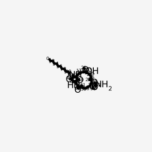 CCCCCCCCCCCCNC1=C2C[C@@H](C)C[C@H](OC)[C@H](O)[C@@H](C)/C=C(\C)[C@H](OC(N)=O)[C@H](OC)/C=C\C=C(/C)C(=O)NC(=CC1=O)C2=O